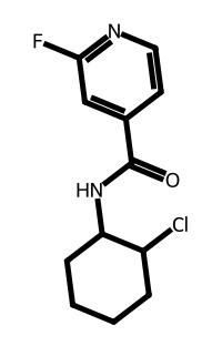 O=C(NC1CCCCC1Cl)c1ccnc(F)c1